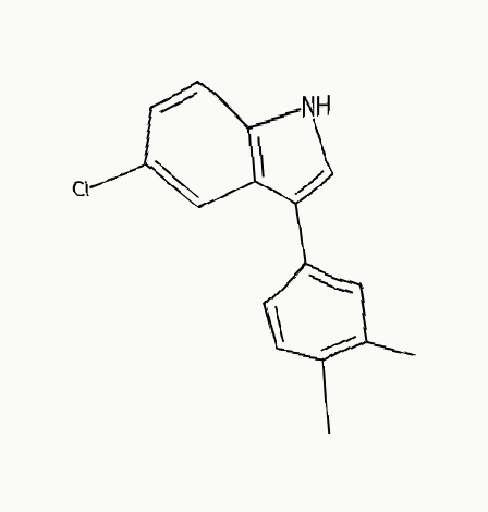 Cc1ccc(-c2c[nH]c3ccc(Cl)cc23)cc1C